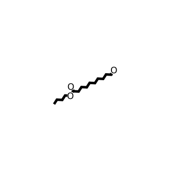 CCCCOC(=O)CCCCCCCCC=O